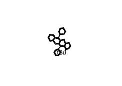 CC(C)(C)c1cccc2cc3c(-c4ccccc4)c4ccccc4cc3c(-c3ccccc3)c12